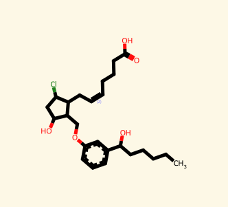 CCCCCC(O)c1cccc(OCC2C(O)CC(Cl)C2C/C=C\CCCC(=O)O)c1